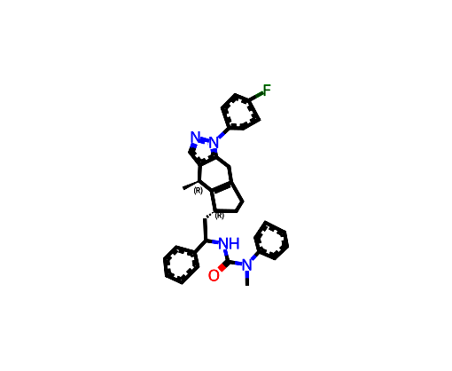 C[C@@H]1C2=C(CC[C@@H]2CC(NC(=O)N(C)c2ccccc2)c2ccccc2)Cc2c1cnn2-c1ccc(F)cc1